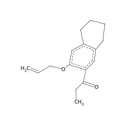 C=CCOc1cc2c(cc1C(=O)CC)CCCC2